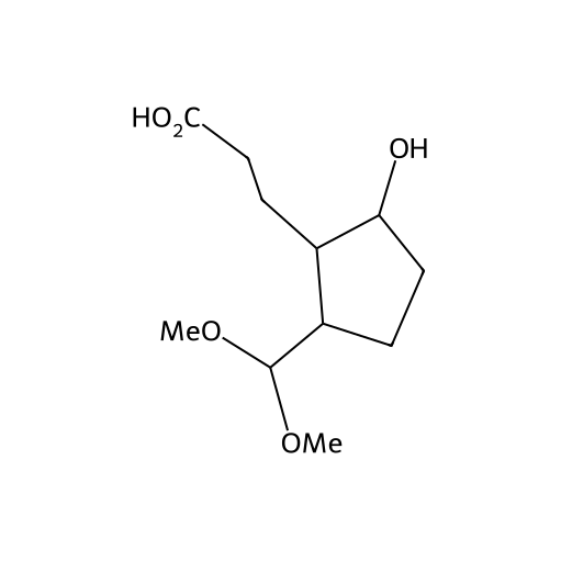 COC(OC)C1CCC(O)C1CCC(=O)O